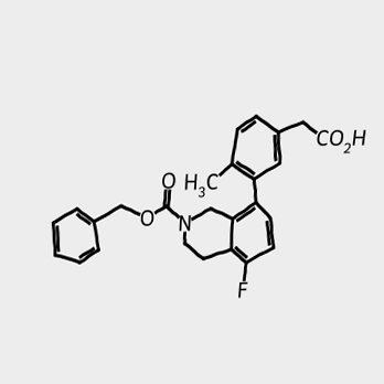 Cc1ccc(CC(=O)O)cc1-c1ccc(F)c2c1CN(C(=O)OCc1ccccc1)CC2